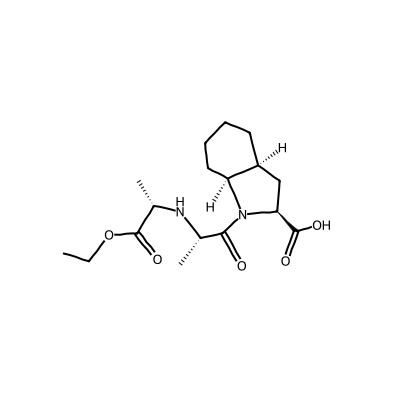 CCOC(=O)[C@H](C)N[C@@H](C)C(=O)N1[C@H](C(=O)O)C[C@@H]2CCCC[C@@H]21